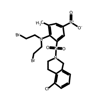 Cc1cc([N+](=O)[O-])cc(S(=O)(=O)N2CCc3c(Cl)cccc3C2)c1N(CCBr)CCBr